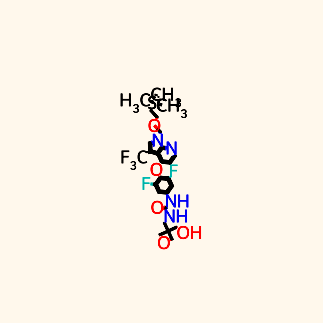 C[Si](C)(C)CCOCn1cc(C(F)(F)F)c2c(Oc3c(F)cc(NC(=O)NCC4(CO)COC4)cc3F)ccnc21